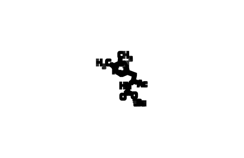 CC(=O)C(Cc1cnc(C)c(C)n1)NC(=O)OC(C)(C)C